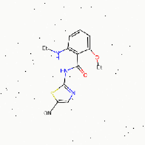 CCNc1cccc(OCC)c1C(=O)Nc1ncc(N=O)s1